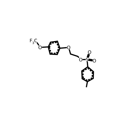 Cc1ccc(S(=O)(=O)OCCOc2ccc(OC(F)(F)F)cc2)cc1